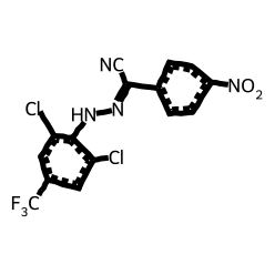 N#C/C(=N\Nc1c(Cl)cc(C(F)(F)F)cc1Cl)c1ccc([N+](=O)[O-])cc1